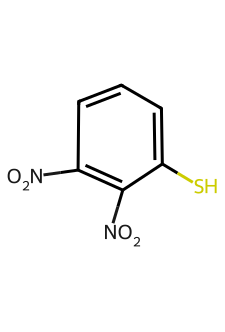 O=[N+]([O-])c1cccc(S)c1[N+](=O)[O-]